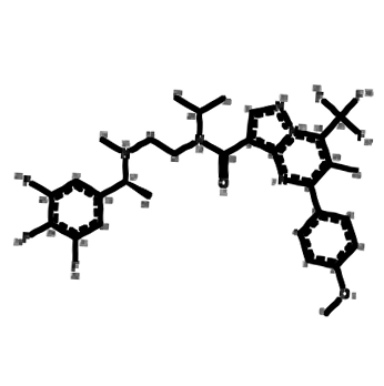 COc1ccc(-c2nc3c(C(=O)N(CCN(C)[C@@H](C)c4cc(F)c(F)c(F)c4)C(C)C)cnn3c(C(F)(F)F)c2C)cc1